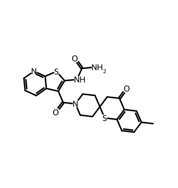 Cc1ccc2c(c1)C(=O)CC1(CCN(C(=O)c3c(NC(N)=O)sc4ncccc34)CC1)S2